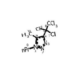 CCCn1nnc(C(Cl)(Cl)C(Cl)(Cl)Cl)c1C